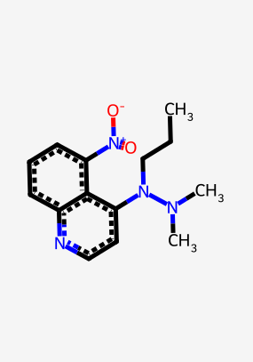 CCCN(c1ccnc2cccc([N+](=O)[O-])c12)N(C)C